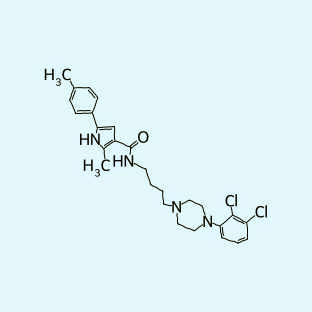 Cc1ccc(-c2cc(C(=O)NCCCCN3CCN(c4cccc(Cl)c4Cl)CC3)c(C)[nH]2)cc1